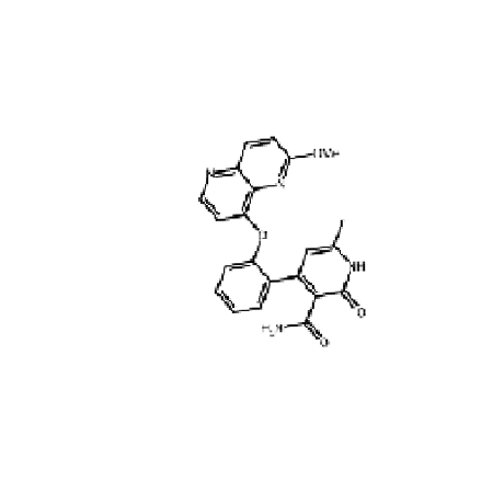 COc1ccc2nccc(Oc3ccccc3-c3cc(C)[nH]c(=O)c3C(N)=O)c2n1